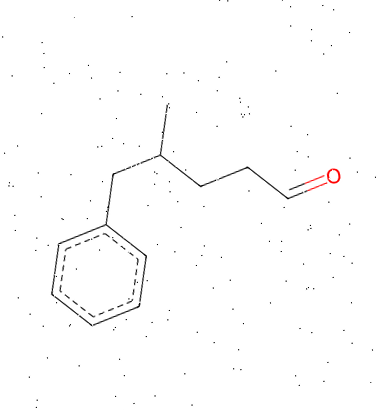 CC(CCC=O)Cc1ccccc1